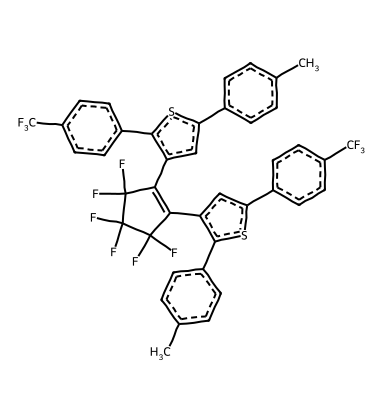 Cc1ccc(-c2cc(C3=C(c4cc(-c5ccc(C(F)(F)F)cc5)sc4-c4ccc(C)cc4)C(F)(F)C(F)(F)C3(F)F)c(-c3ccc(C(F)(F)F)cc3)s2)cc1